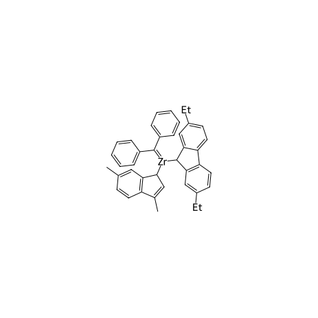 CCc1ccc2c(c1)[CH]([Zr](=[C](c1ccccc1)c1ccccc1)[CH]1C=C(C)c3ccc(C)cc31)c1cc(CC)ccc1-2